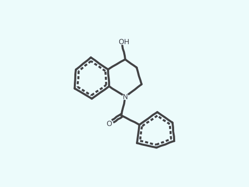 O=C(c1ccccc1)N1CCC(O)c2ccccc21